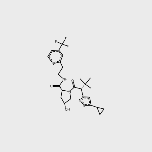 CC(C)(C)[C@@H](C(=O)N1C[C@H](O)C[C@H]1C(=O)NCCc1cc(C(F)(F)F)ccn1)n1cc(C2CC2)nn1